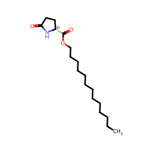 CCCCCCCCCCCCCOC(=O)[C@H]1CCC(=O)N1